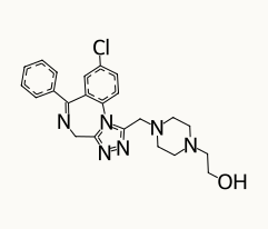 OCCN1CCN(Cc2nnc3n2-c2ccc(Cl)cc2C(c2ccccc2)=NC3)CC1